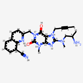 CC#CCn1c(N(C)CC(C)N)nc2c1c(=O)n(Cc1ccc3cccc(C#N)c3n1)c(=O)n2C